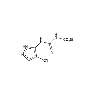 CCOC(=O)NC(=S)Nc1[nH]ncc1C#N